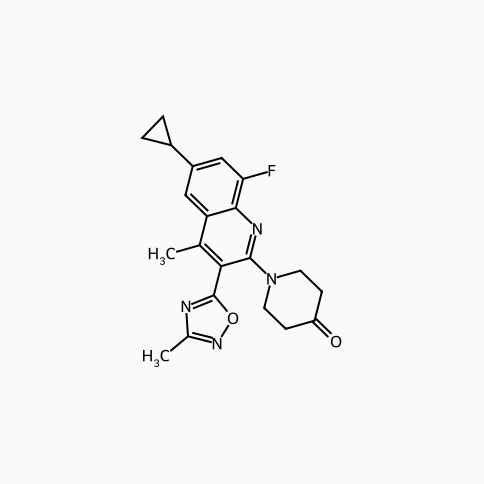 Cc1noc(-c2c(N3CCC(=O)CC3)nc3c(F)cc(C4CC4)cc3c2C)n1